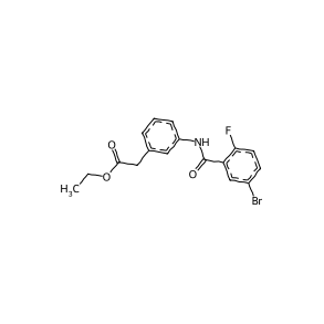 CCOC(=O)Cc1cccc(NC(=O)c2cc(Br)ccc2F)c1